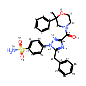 CC1(c2ccccc2)CN(C(=O)c2nc(Cc3ccccc3)n(-c3ccc(S(N)(=O)=O)cc3)n2)CCO1